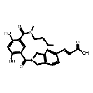 CCCCN(C)C(=O)c1cc(C(=O)N2Cc3ccc(C=CC(=O)O)cc3C2)c(O)cc1O